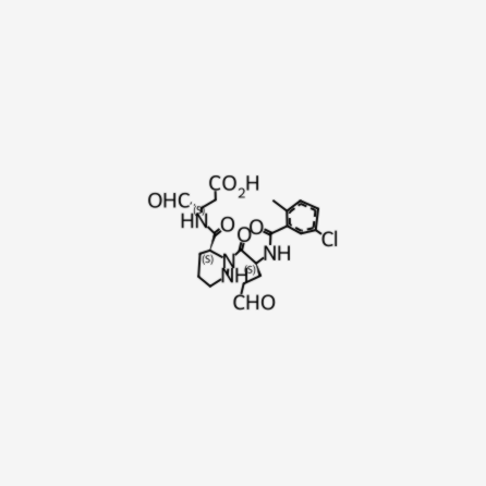 Cc1ccc(Cl)cc1C(=O)N[C@@H](CCC=O)C(=O)N1NCCC[C@H]1C(=O)N[C@H](C=O)CC(=O)O